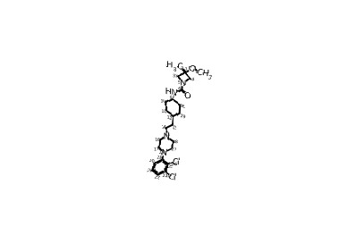 COC1(C)CN(C(=O)N[C@H]2CC[C@H](CCN3CCN(c4cccc(Cl)c4Cl)CC3)CC2)C1